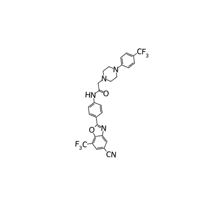 N#Cc1cc(C(F)(F)F)c2oc(-c3ccc(NC(=O)CN4CCN(c5ccc(C(F)(F)F)cc5)CC4)cc3)nc2c1